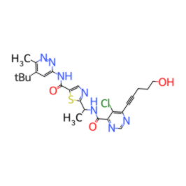 Cc1nnc(NC(=O)c2cnc(C(C)NC(=O)c3ncnc(C#CCCCO)c3Cl)s2)cc1C(C)(C)C